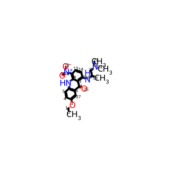 CCOc1ccc2[nH]c3c([N+](=O)[O-])ccc(NC(C)CN(C)C)c3c(=O)c2c1